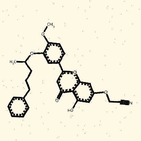 COc1ccc(-c2cc(=O)c3c(O)cc(OCC#N)cc3o2)cc1OC(C)CCCc1ccccc1